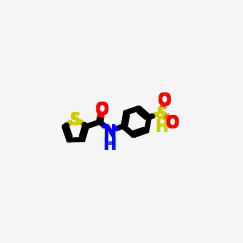 O=C(Nc1ccc([SH](=O)=O)cc1)c1cccs1